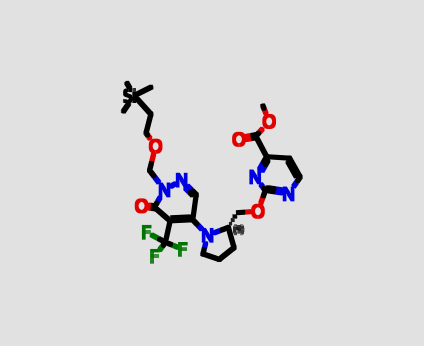 COC(=O)c1ccnc(OC[C@@H]2CCCN2c2cnn(COCC[Si](C)(C)C)c(=O)c2C(F)(F)F)n1